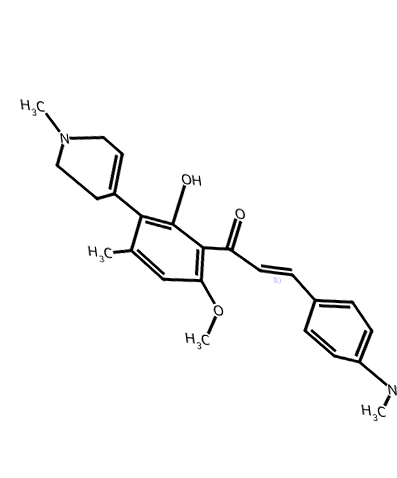 COc1cc(C)c(C2=CCN(C)CC2)c(O)c1C(=O)/C=C/c1ccc(N(C)C)cc1